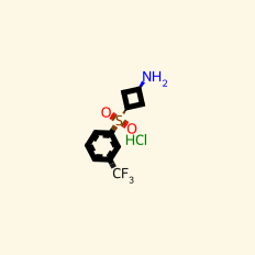 Cl.N[C@H]1C[C@H](S(=O)(=O)c2cccc(C(F)(F)F)c2)C1